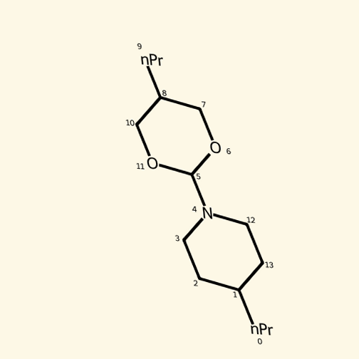 CCCC1CCN(C2OCC(CCC)CO2)CC1